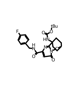 CC(C)(C)OC(=O)NC12CCC(CC1)Cn1c2nc(C(=O)NCc2ccc(F)cc2)[c]c1=O